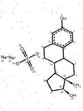 C[C@]12CCC3c4ccc(O)cc4CCC3C1CC[C@@H]2O.O=S(=O)([O-])[O-].[Na+].[Na+]